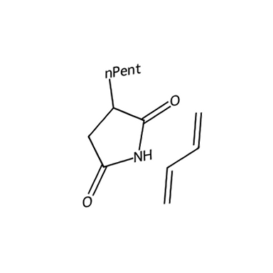 C=CC=C.CCCCCC1CC(=O)NC1=O